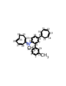 Cc1cccc(-c2cc(C3=CC=CC=CC3)ccc2N(C)C2=C/CC/C=C/C=C\2)c1